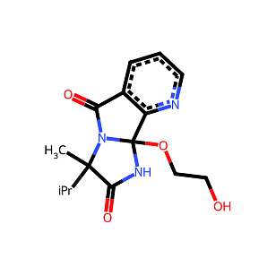 CC(C)C1(C)C(=O)NC2(OCCO)c3ncccc3C(=O)N21